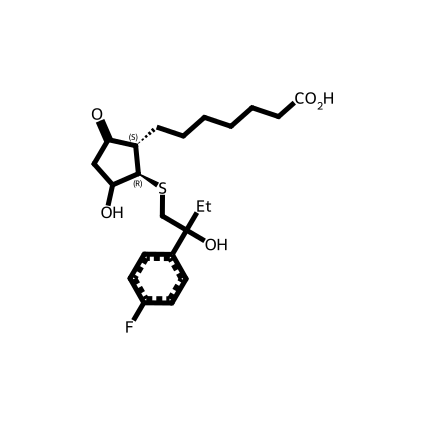 CCC(O)(CS[C@H]1C(O)CC(=O)[C@@H]1CCCCCCC(=O)O)c1ccc(F)cc1